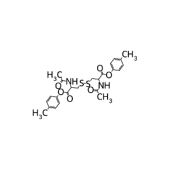 CC(=O)NC(CSSCC(NC(C)=O)C(=O)Oc1ccc(C)cc1)C(=O)Oc1ccc(C)cc1